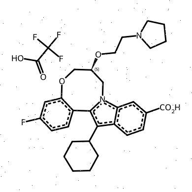 O=C(O)C(F)(F)F.O=C(O)c1ccc2c(C3CCCCC3)c3n(c2c1)C[C@H](OCCN1CCCC1)COc1cc(F)ccc1-3